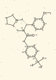 COc1cccc([C@@H](CN2CCCC2)N(C)C(=O)Cc2ccc(C(F)(F)F)cc2)c1